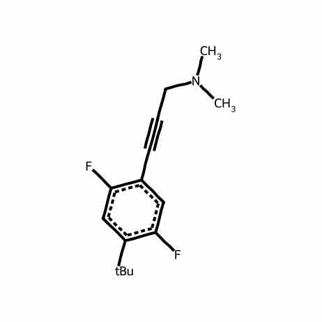 CN(C)CC#Cc1cc(F)c(C(C)(C)C)cc1F